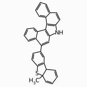 CC12C=CC=CC1c1cc(-c3cc4[nH]c5ccc6ccccc6c5c4c4ccccc34)ccc1S2